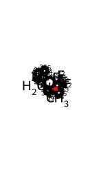 C=C1C2C(CCc3c(ccc(C(F)(F)F)c3C(F)(F)F)-c3c(-c4ccccc4)c(C)cc[n+]31)c1cccc3c1C1N(C=CN21)CC3